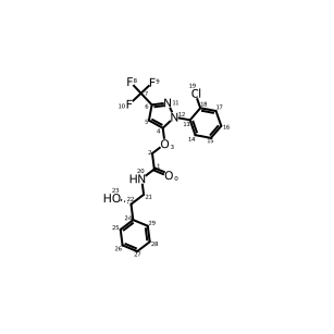 O=C(COc1cc(C(F)(F)F)nn1-c1ccccc1Cl)NC[C@@H](O)c1ccccc1